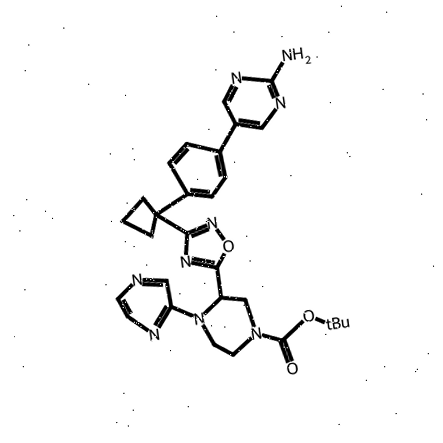 CC(C)(C)OC(=O)N1CCN(c2cnccn2)C(c2nc(C3(c4ccc(-c5cnc(N)nc5)cc4)CCC3)no2)C1